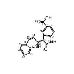 O=C1Nc2ccc(C(=O)O)cc2/C1=C1\C=Cc2ccccc2N1